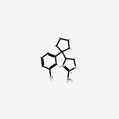 CCc1cccc(C2(C3CSC(N)=N3)CCCC2)c1